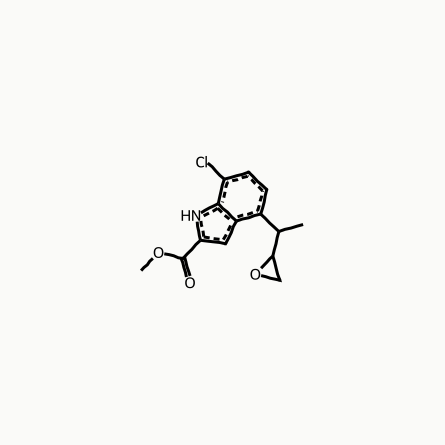 COC(=O)c1cc2c(C(C)C3CO3)ccc(Cl)c2[nH]1